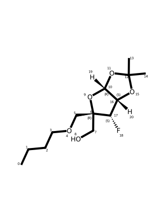 CCCCOC[C@@]1(CO)O[C@@H]2OC(C)(C)O[C@@H]2[C@@H]1F